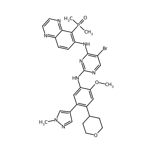 COc1cc(C2CCOCC2)c(-c2cnn(C)c2)cc1Nc1ncc(Br)c(Nc2ccc3nccnc3c2P(C)(C)=O)n1